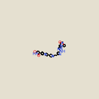 CN(C)C(=O)c1cc2cnc(Nc3ccc(CCCN4CCC(C5CCN(c6ccc(C7CCC(=O)NC7=O)cc6)CC5)CC4)cn3)nc2n1C1CCCC1